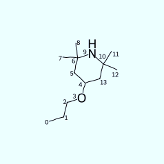 CCCOC1CC(C)(C)NC(C)(C)C1